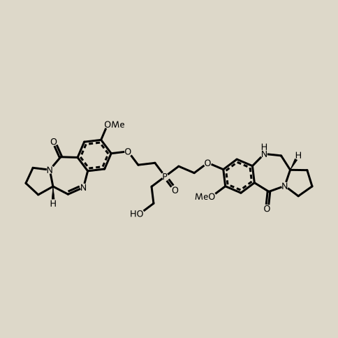 COc1cc2c(cc1OCCP(=O)(CCO)CCOc1cc3c(cc1OC)C(=O)N1CCC[C@H]1CN3)N=C[C@@H]1CCCN1C2=O